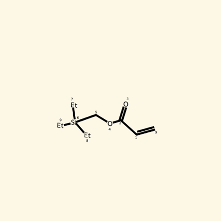 C=CC(=O)OC[Si](CC)(CC)CC